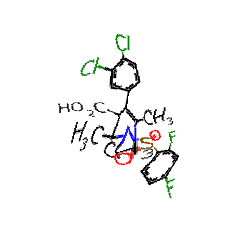 CC1=C(c2ccc(Cl)c(Cl)c2)C(C(=O)O)C(C)(C)N1S(=O)(=O)c1ccc(F)cc1F